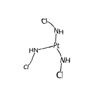 Cl[NH][Pt]([NH]Cl)[NH]Cl